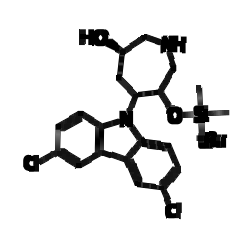 CC(C)(C)[Si](C)(C)OC1CNC[C@H](O)CC1n1c2ccc(Cl)cc2c2cc(Cl)ccc21